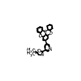 CC1(C)CN=C(c2cncc(-c3cc4c5c(c3)Oc3ccccc3B5c3ccccc3O4)c2)O1